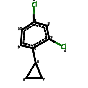 Clc1[c]c(Cl)c(C2CC2)cc1